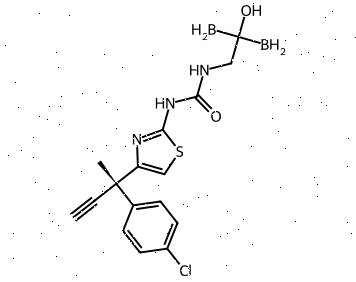 BC(B)(O)CNC(=O)Nc1nc([C@@](C)(C#C)c2ccc(Cl)cc2)cs1